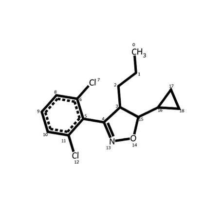 CCCC1C(c2c(Cl)cccc2Cl)=NOC1C1CC1